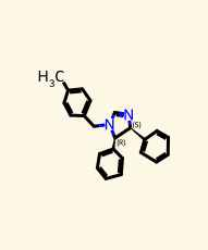 Cc1ccc(CN2C=N[C@@H](c3ccccc3)[C@H]2c2ccccc2)cc1